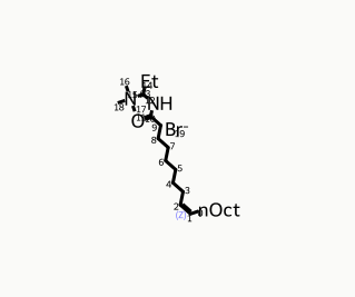 CCCCCCCC/C=C\CCCCCCCC(=O)NC(CC)[N+](C)(C)C.[Br-]